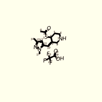 CC(=O)SC1CCNCC1=Cc1cc(C)nn1C.O=C(O)C(F)(F)F